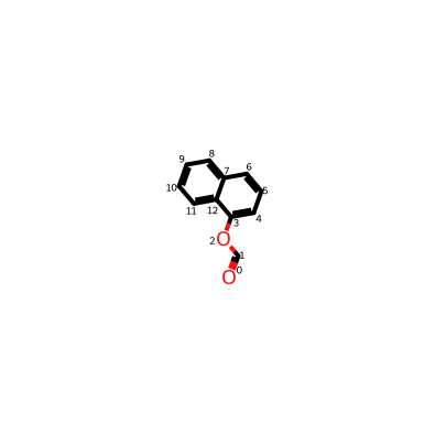 O=COc1cccc2ccccc12